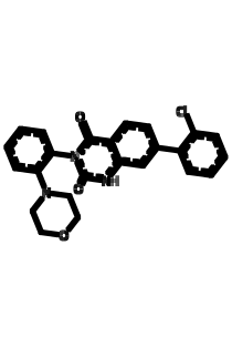 O=c1[nH]c2cc(-c3ccccc3Cl)ccc2c(=O)n1-c1ccccc1N1CCOCC1